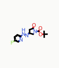 CC(C)(C)OC(=O)N1C/C(=N/Nc2ccc(F)cn2)CC1=O